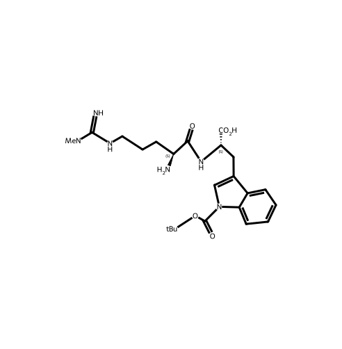 CNC(=N)NCCC[C@H](N)C(=O)N[C@@H](Cc1cn(C(=O)OC(C)(C)C)c2ccccc12)C(=O)O